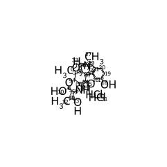 CO[C@@]12CC[C@H](N[C@H](C(=O)O)[C@@H](C)O)[C@@H]3Oc4c(O)ccc5c4[C@@]31CCN(C)[C@@H]2C5.Cl.Cl